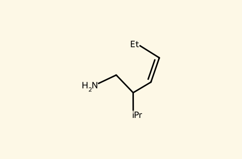 CC/C=C\C(CN)C(C)C